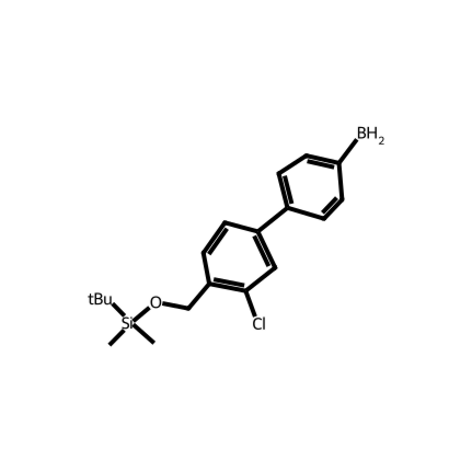 Bc1ccc(-c2ccc(CO[Si](C)(C)C(C)(C)C)c(Cl)c2)cc1